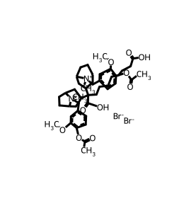 COc1cc(C[N+]2(C)C3CCC2CC(C(CCCCCCCC(=O)O)(C(=O)O)C2CC4CCC(C2)[N+]4(C)Cc2ccc(OC(C)=O)c(OC)c2)C3)ccc1OC(C)=O.[Br-].[Br-]